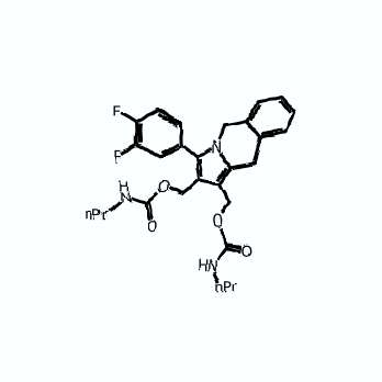 CCCNC(=O)OCc1c(COC(=O)NCCC)c(-c2ccc(F)c(F)c2)n2c1Cc1ccccc1C2